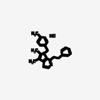 Cc1ccc(Cn2c(C)c(C)c3ccnc(CCc4ccccc4)c32)cc1.Cl